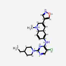 CCC1CCN(c2ncc(Cl)c(NC3=CC4C=C(c5cnoc5)CN(C)C4C=C3)n2)CC1